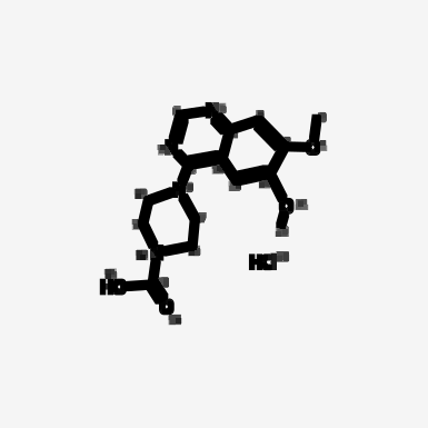 COc1cc2ncnc(N3CCN(C(=O)O)CC3)c2cc1OC.Cl